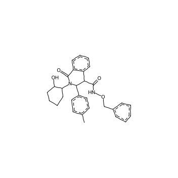 Cc1ccc(C2C(C(=O)NOCc3ccccc3)c3ccccc3C(=O)N2C2CCCCC2O)cc1